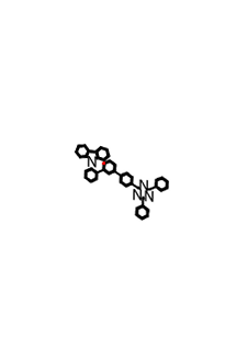 c1ccc(-c2nc(-c3ccccc3)nc(-c3ccc(-c4cccc(-c5ccccc5-n5c6ccccc6c6ccccc65)c4)cc3)n2)cc1